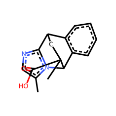 Cc1cnc2n1C1c3ccccc3C2CC1(C)C(=O)O